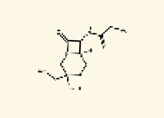 CC(=O)CC(=O)NC1C(=O)N2CC(COC(C)=O)(C(=O)O)CS[C@H]12